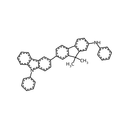 CC1(C)c2cc(Nc3ccccc3)ccc2-c2ccc(-c3ccc4c(c3)c3ccccc3n4-c3ccccc3)cc21